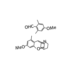 COc1cc(C)c(/C=C2\C(=O)C3CCN2CC3)c(C)c1.COc1cc(C)c(C=O)c(C)c1